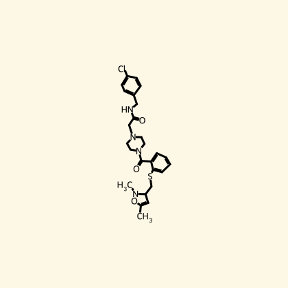 CC1=CC(CSc2ccccc2C(=O)N2CCN(CC(=O)NCc3ccc(Cl)cc3)CC2)N(C)O1